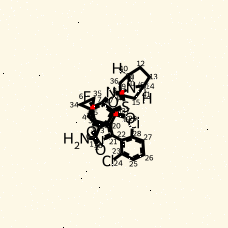 NC(=O)c1cc(F)c2nc(N3[C@@H]4CC[C@H]3C[C@H](OC(=O)c3c(-c5c(Cl)cccc5Cl)noc3C3CC3)C4)sc2c1